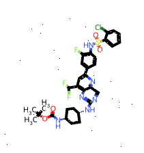 CC(C)(C)OC(=O)N[C@H]1CC[C@H](Nc2ncc3nc(-c4ccc(NS(=O)(=O)c5ccccc5Cl)c(F)c4)cc(C(F)F)c3n2)CC1